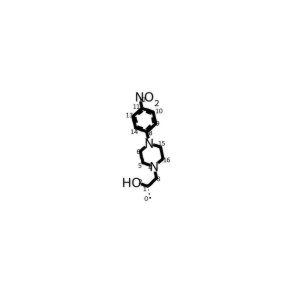 C[C@H](O)CN1CCN(c2ccc([N+](=O)[O-])cc2)CC1